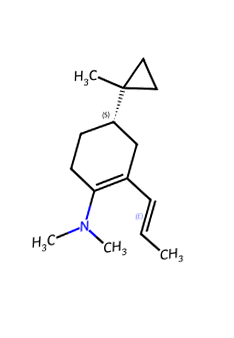 C/C=C/C1=C(N(C)C)CC[C@H](C2(C)CC2)C1